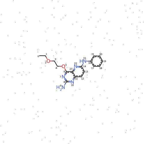 CCOCCOc1nc(N)nc2ccc(Nc3ccccc3)nc12